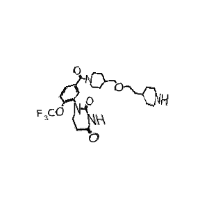 O=C1CCN(c2cc(C(=O)N3CCC(COCCC4CCNCC4)CC3)ccc2OC(F)(F)F)C(=O)N1